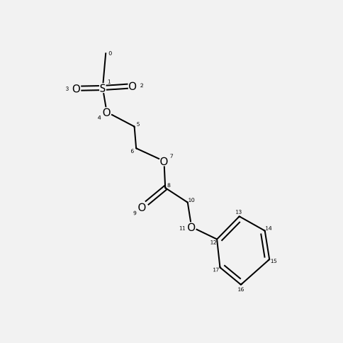 CS(=O)(=O)OCCOC(=O)COc1ccccc1